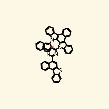 c1ccc(-c2nc(-c3cc4sc5ccccc5c4c4ccccc34)nc(-n3c4ccccc4c4c5ccccc5c5c6ccccc6n(-c6ccccc6)c5c43)n2)cc1